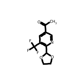 CC(=O)c1cnc(C2OCCO2)c(C(F)(F)F)c1